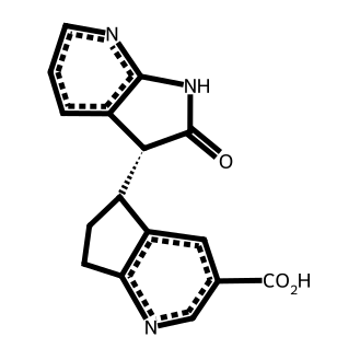 O=C(O)c1cnc2c(c1)C([C@H]1C(=O)Nc3ncccc31)CC2